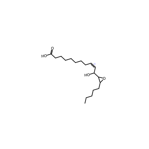 CCCCCC1OC1C(O)/C=C\CCCCCCCC(=O)O